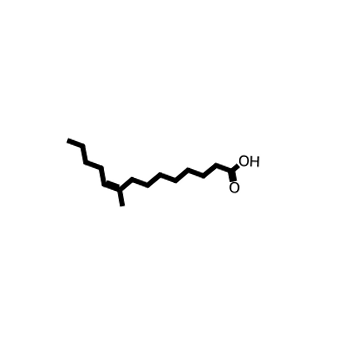 CCCCC=C(C)CCCCCCCC(=O)O